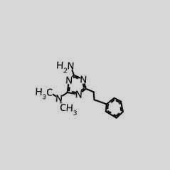 CN(C)c1nc(N)nc(CCc2ccccc2)n1